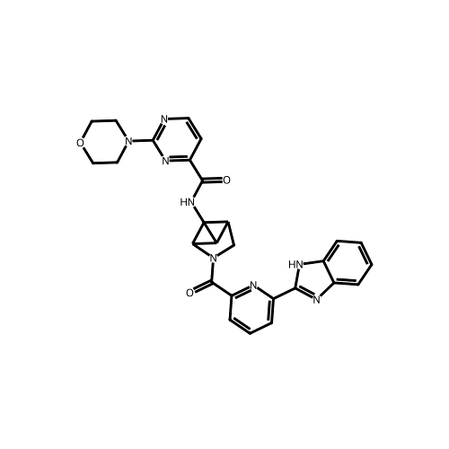 O=C(NC12C3CN(C(=O)c4cccc(-c5nc6ccccc6[nH]5)n4)C1C32)c1ccnc(N2CCOCC2)n1